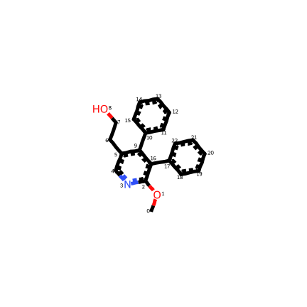 COc1n[c]c(CCO)c(-c2ccccc2)c1-c1ccccc1